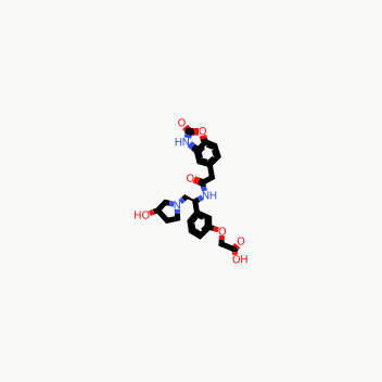 O=C(O)COc1cccc([C@@H](CN2CCC(O)C2)NC(=O)Cc2ccc3oc(=O)[nH]c3c2)c1